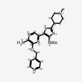 CNc1nc(C2CCN(C)CC2)sc1-c1cnc(N)c(OCc2ccncc2)n1